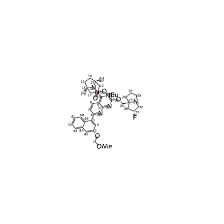 COCOc1cc(-c2ccc3c(N4C[C@H]5CC[C@@H](C4)N5C(=O)OC(C)(C)C)nc(OC[C@@]45CCCN4C[C@H](F)C5)nc3n2)c2ccccc2c1